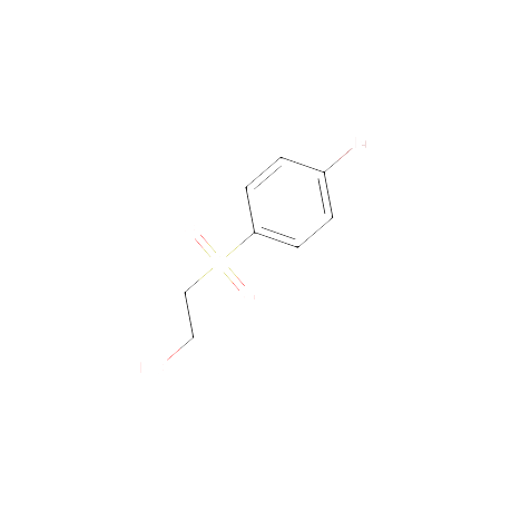 O=S(=O)(CCO)c1ccc(Br)cc1